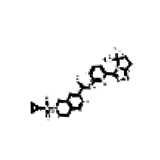 CC1(C)CCc2nnc(-c3cccc(NC(=O)c4cc5c(cn4)CCN(S(=O)(=O)C4CC4)C5)n3)n21